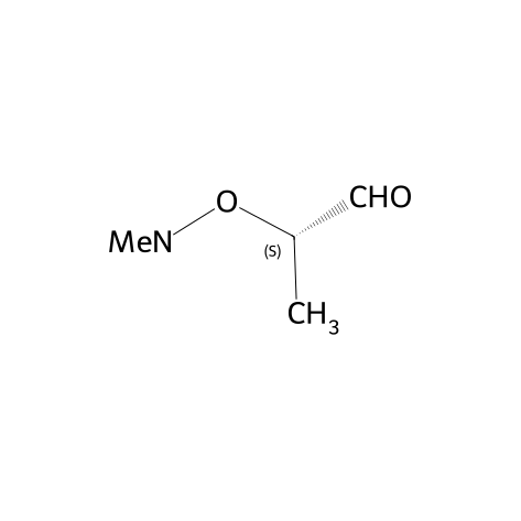 CNO[C@@H](C)C=O